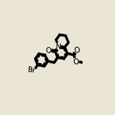 COC(=O)c1cc(Cc2cccc(Br)c2)c(=O)n2c1CCCC2